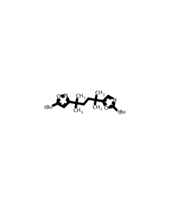 CC(C)(C)c1cc(C(C)(C)CCC(C)(C)c2cnc(C(C)(C)C)o2)no1